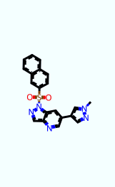 Cn1cc(-c2cnc3cnn(S(=O)(=O)c4ccc5ccccc5c4)c3c2)cn1